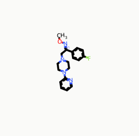 CO/N=C(\CN1CCN(c2ccccn2)CC1)c1ccc(F)cc1